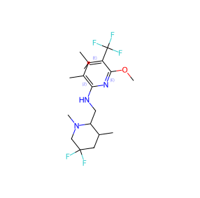 C\C=C(/C(=N\C(NCC1C(C)CC(F)(F)CN1C)=C(\C)CC)OC)C(F)(F)F